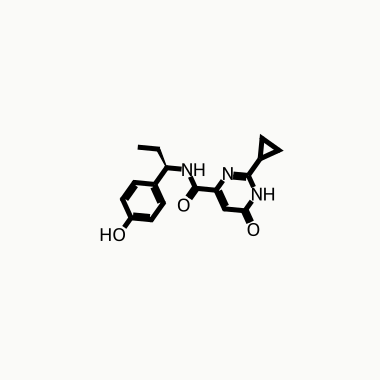 CC[C@@H](NC(=O)c1cc(=O)[nH]c(C2CC2)n1)c1ccc(O)cc1